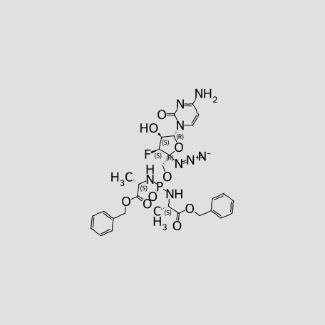 C[C@H](NP(=O)(N[C@@H](C)C(=O)OCc1ccccc1)OC[C@@]1(N=[N+]=[N-])O[C@@H](n2ccc(N)nc2=O)[C@H](O)[C@@H]1F)C(=O)OCc1ccccc1